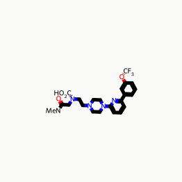 CNC(=O)CN(CCN1CCN(c2cccc(-c3cccc(OC(F)(F)F)c3)n2)CC1)C(=O)O